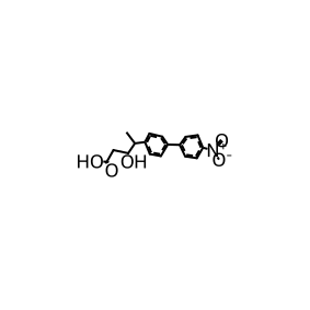 CC(c1ccc(-c2ccc([N+](=O)[O-])cc2)cc1)C(O)CC(=O)O